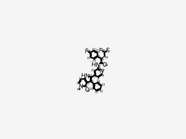 Cn1ccc2[nH]c(-c3ccnc(NC(=O)[C@H](CC(F)F)c4ccc(F)cc4)c3)c(-c3ccccc3)c2c1=O